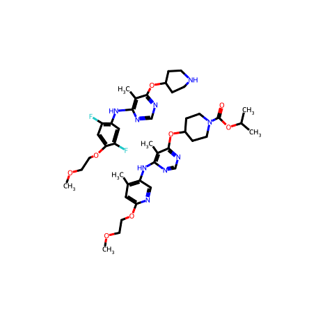 COCCOc1cc(C)c(Nc2ncnc(OC3CCN(C(=O)OC(C)C)CC3)c2C)cn1.COCCOc1cc(F)c(Nc2ncnc(OC3CCNCC3)c2C)cc1F